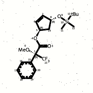 CO[C@@](C(=O)O[C@H]1C=C[C@H](O[Si](C)(C)C(C)(C)C)C1)(c1ccccc1)C(F)(F)F